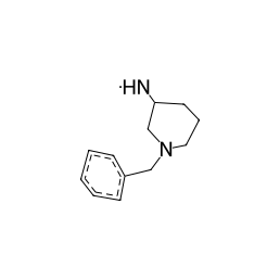 [NH]C1CCCN(Cc2ccccc2)C1